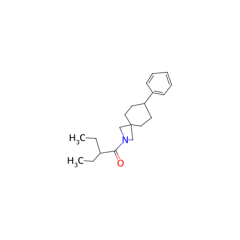 CCC(CC)C(=O)N1CC2(CCC(c3ccccc3)CC2)C1